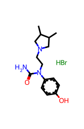 Br.CC1CN(CCN(C(N)=O)c2ccc(O)cc2)CC1C